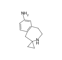 Nc1ccc2c(c1)CCNC1(CC1)C2